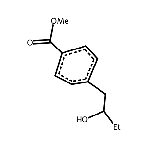 CCC(O)Cc1ccc(C(=O)OC)cc1